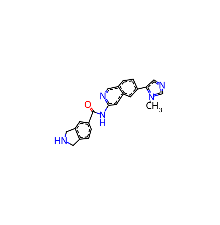 Cn1cncc1-c1ccc2cnc(NC(=O)c3ccc4c(c3)CNC4)cc2c1